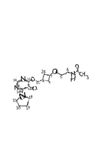 CC(=O)NCCOC1CC(COc2ncnc(N3CCCC3)c2Cl)C1